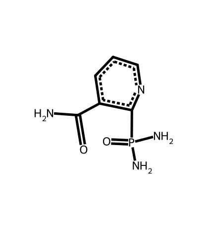 NC(=O)c1cccnc1P(N)(N)=O